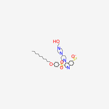 CCCCCCCCCCOc1ccc(S(=O)(=O)c2cnc3ccc([S+](C)[O-])cc3c2N2CCC(N3CCN(CCO)CC3)CC2)cc1